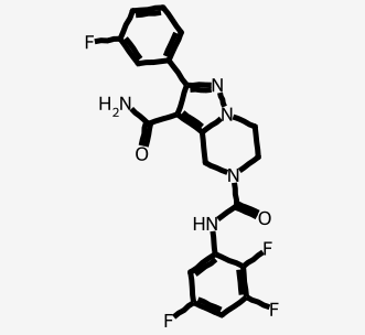 NC(=O)c1c(-c2cccc(F)c2)nn2c1CN(C(=O)Nc1cc(F)cc(F)c1F)CC2